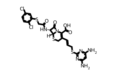 Nc1cc(N)nc(SCC=CC2=C(C(=O)O)N3C(=O)[C@@H](NC(=O)CSc4cc(Cl)ccc4Cl)[C@H]3SC2)n1